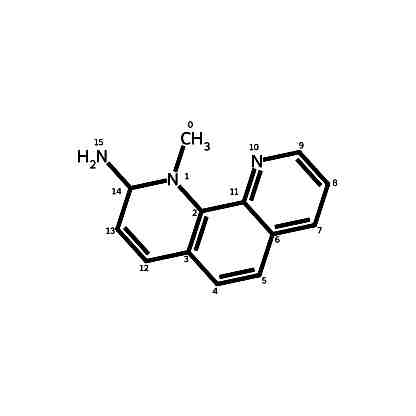 CN1c2c(ccc3cccnc23)C=CC1N